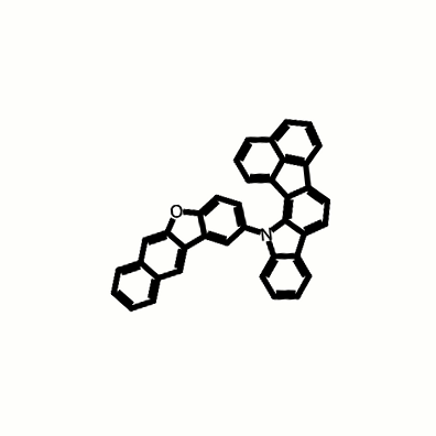 c1ccc2cc3c(cc2c1)oc1ccc(-n2c4ccccc4c4ccc5c(c42)-c2cccc4cccc-5c24)cc13